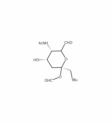 CC(=O)N[C@@H]1C(C=O)O[C@@](CC(C)(C)C)(OC=O)C[C@@H]1O